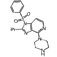 CC(C)c1nc2c(N3CCNCC3)nccc2n1S(=O)(=O)c1ccccc1